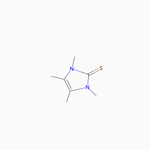 Cc1c(C)n(C)c(=S)n1C